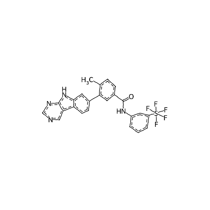 Cc1ccc(C(=O)Nc2cccc(S(F)(F)(F)(F)F)c2)cc1-c1ccc2c(c1)[nH]c1ncncc12